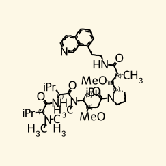 CC[C@H](C)C([C@@H](CC(=O)N1CCC[C@H]1[C@H](OC)[C@@H](C)C(=O)NCCc1cccc2ccncc12)OC)N(C)C(=O)[C@@H](NC(=O)[C@H](C(C)C)N(C)C)C(C)C